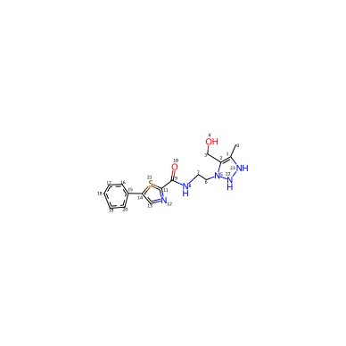 CC1=C(CO)N(CCNC(=O)c2ncc(-c3ccccc3)s2)NN1